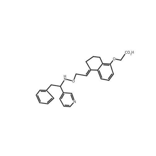 O=C(O)COc1cccc2c1CCCC2=CCONC(Cc1ccccc1)c1cccnc1